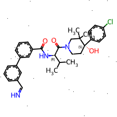 CC(C)[C@@H](NC(=O)c1cccc(-c2cccc(C=N)c2)c1)C(=O)N1CC[C@](O)(c2ccc(Cl)cc2)C(C)(C)C1